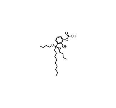 CCCCCCCCCC(OCCCC)(OCCCC)c1cccc(OC(=O)O)c1O